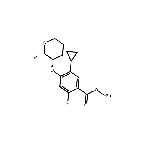 C[C@@H]1NCCC[C@@H]1Oc1cc(F)c(C(=O)OC(C)(C)C)cc1C1CC1